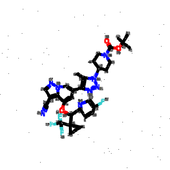 Cc1c(-c2cc(OC(c3ccc(F)cn3)C3(C(F)(F)F)CC3)c3c(C#N)cnn3c2)nnn1C1CCN(C(=O)OC(C)(C)C)CC1